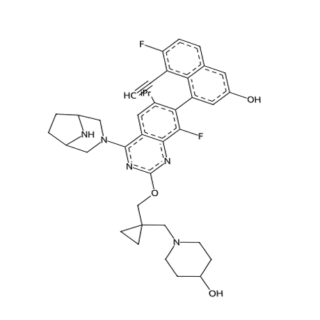 C#Cc1c(F)ccc2cc(O)cc(-c3c(C(C)C)cc4c(N5CC6CCC(C5)N6)nc(OCC5(CN6CCC(O)CC6)CC5)nc4c3F)c12